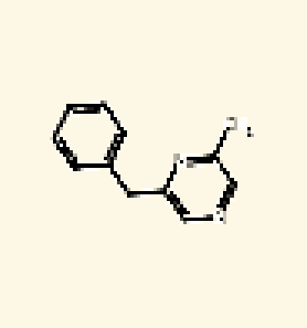 Cc1cncc(Cc2ccccc2)n1